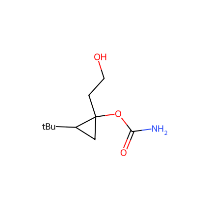 CC(C)(C)C1CC1(CCO)OC(N)=O